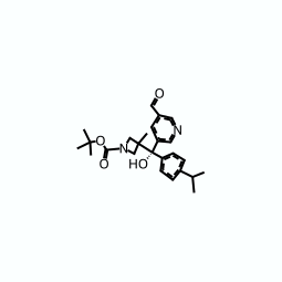 CC(C)c1ccc([C@](O)(c2cncc(C=O)c2)C2(C)CN(C(=O)OC(C)(C)C)C2)cc1